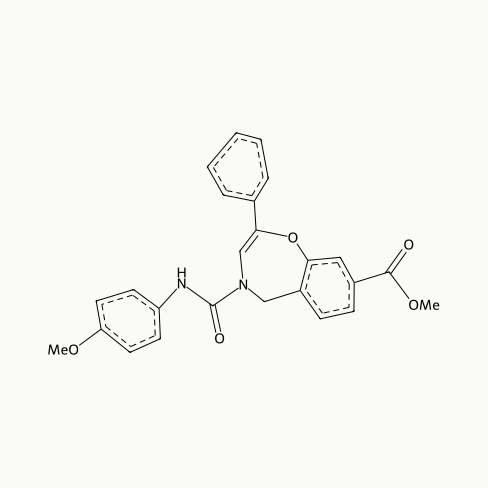 COC(=O)c1ccc2c(c1)OC(c1ccccc1)=CN(C(=O)Nc1ccc(OC)cc1)C2